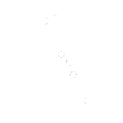 C=CC(=O)OCCCCOc1ccc(OC(=O)/C=C/c2ccc(OCCCCCCOC(=O)C(=C)CO)cc2)cc1